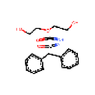 N=C=O.N=C=O.OCCOCCO.c1ccc(Cc2ccccc2)cc1